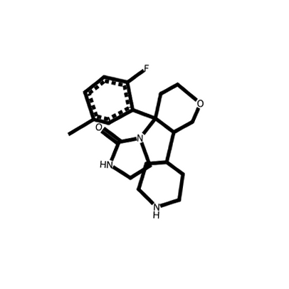 Cc1ccc(F)c(C2(N3CCNC3=O)CCOCC2C2CCNCC2)c1